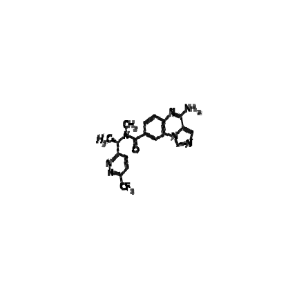 C[C@H](c1ccc(C(F)(F)F)nn1)N(C)C(=O)c1ccc2nc(N)c3cncn3c2c1